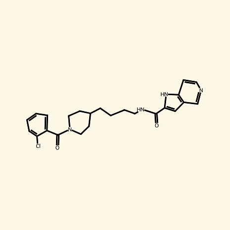 O=C(NCCCCC1CCN(C(=O)c2ccccc2Cl)CC1)c1cc2cnccc2[nH]1